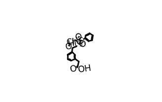 COC(CNS(=O)(=O)c1ccccc1)c1cccc(CC(=O)O)c1